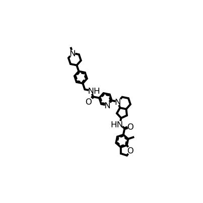 Cc1c(C(=O)NC2CC3CCCN(c4ccc(C(=O)NCc5ccc(C6CCN(C)CC6)cc5)cn4)C3C2)ccc2c1OCC2